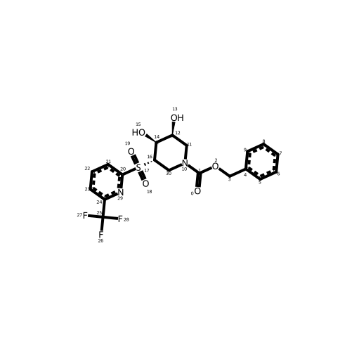 O=C(OCc1ccccc1)N1C[C@H](O)[C@H](O)[C@@H](S(=O)(=O)c2cccc(C(F)(F)F)n2)C1